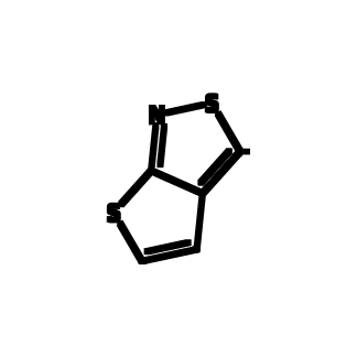 [c]1snc2sccc12